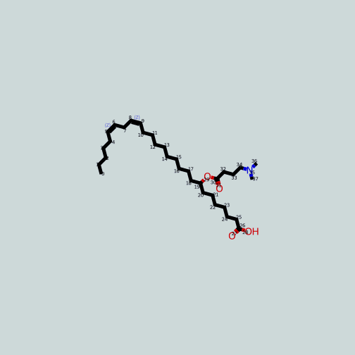 CCCCC/C=C\C/C=C\CCCCCCCCCC(CCCCCCC(=O)O)OC(=O)CCCN(C)C